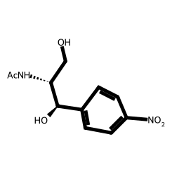 CC(=O)N[C@H](CO)[C@H](O)c1ccc([N+](=O)[O-])cc1